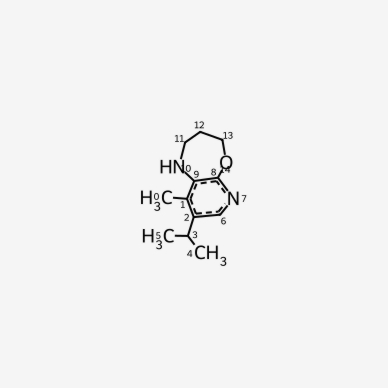 Cc1c(C(C)C)cnc2c1NCCCO2